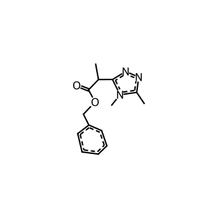 Cc1nnc(C(C)C(=O)OCc2ccccc2)n1C